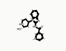 Cl.O=C(Nc1nc2ccccc2n1C1CCNCC1)c1cccnc1